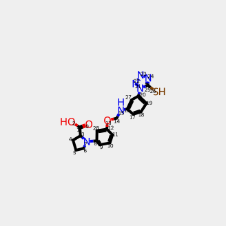 O=C(O)C1CCCN1c1cccc(OCNc2cccc(-n3nnnc3S)c2)c1